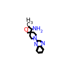 C[C@@H]1OCC2(CCN(c3cnc4ccccc4n3)CC2)[C@@H]1N